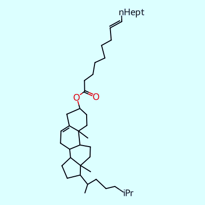 CCCCCCC/C=C/CCCCCCC(=O)OC1CCC2(C)C(=CCC3C2CCC2(C)C(C(C)CCCC(C)C)CCC32)C1